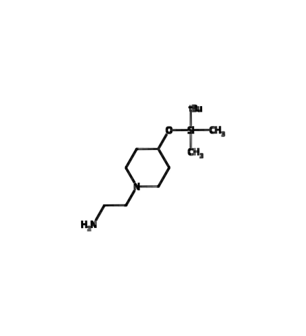 CC(C)(C)[Si](C)(C)OC1CCN(CCN)CC1